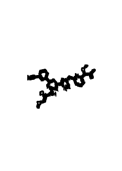 COCC(=O)Nc1nc(-c2cccc(C#N)c2)cc(-c2cn(Cc3cccc(C(OC)C(C)C)n3)nn2)n1